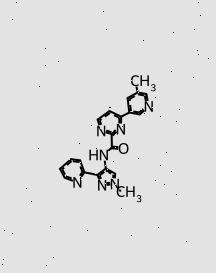 Cc1cncc(-c2ccnc(C(=O)Nc3cn(C)nc3-c3ccccn3)n2)c1